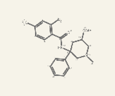 CCc1cc(C(F)(F)F)ccc1C(=O)NC1(c2ccccc2)CC(OC)CN(C)C1